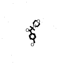 CC(C)(C(=O)c1ccc(C=O)cc1)N1CCOCC1